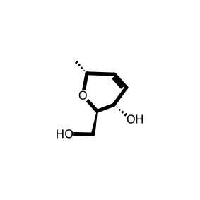 C[C@@H]1C=C[C@H](O)[C@@H](CO)O1